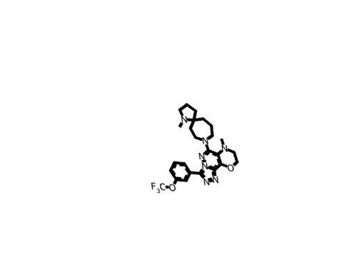 CN1CCOc2c1c(N1CCCC3(CCCN3C)CC1)nn1c(-c3cccc(OC(F)(F)F)c3)nnc21